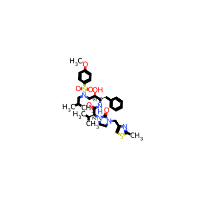 COc1ccc(S(=O)(=O)N(CC(C)C)C[C@@H](O)[C@H](Cc2ccccc2)NC(=O)[C@H](C(C)C)N2CCN(Cc3csc(C)n3)C2=O)cc1